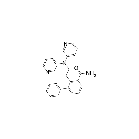 NC(=O)c1cccc(-c2ccccc2)c1CCN(c1cccnc1)c1cccnc1